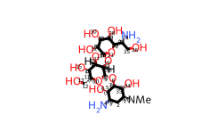 CN[C@H]1C[C@@H](N)[C@H](O)[C@@H](O[C@@H]2O[C@H](CO)[C@H](O)[C@@H]3O[C@@]4(O[C@H]23)O[C@H]([C@H](N)CO)[C@H](O)[C@H](O)[C@H]4O)[C@@H]1O